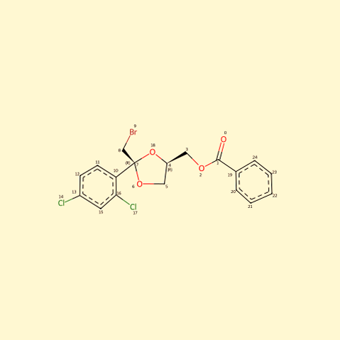 O=C(OC[C@H]1CO[C@](CBr)(c2ccc(Cl)cc2Cl)O1)c1ccccc1